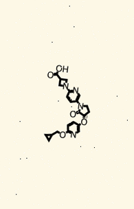 O=C(O)C1CN(c2ccc(N3CC[C@@H](Oc4ccc(OCC5CC5)nc4)C3=O)cn2)C1